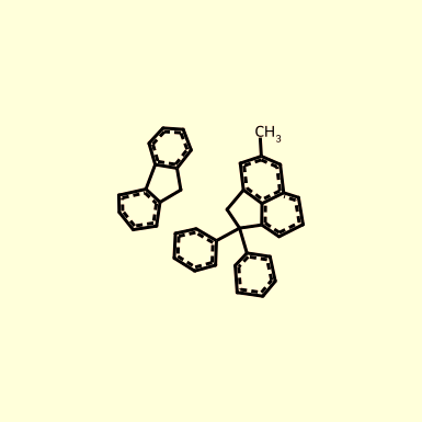 Cc1cc2c3c(cccc3c1)C(c1ccccc1)(c1ccccc1)C2.c1ccc2c(c1)Cc1ccccc1-2